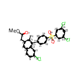 COC(=O)Cc1cc2ccc(Cl)cc2c(-c2ccc(S(=O)(=O)c3cc(Cl)cc(Cl)c3)cc2)c1C